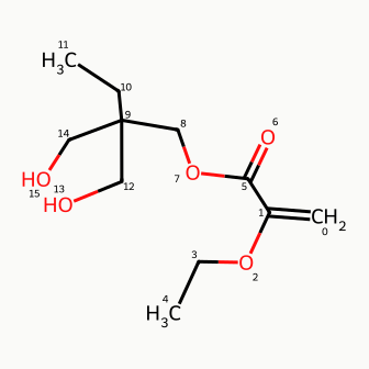 C=C(OCC)C(=O)OCC(CC)(CO)CO